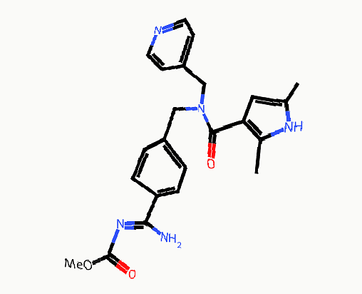 COC(=O)/N=C(\N)c1ccc(CN(Cc2ccncc2)C(=O)c2cc(C)[nH]c2C)cc1